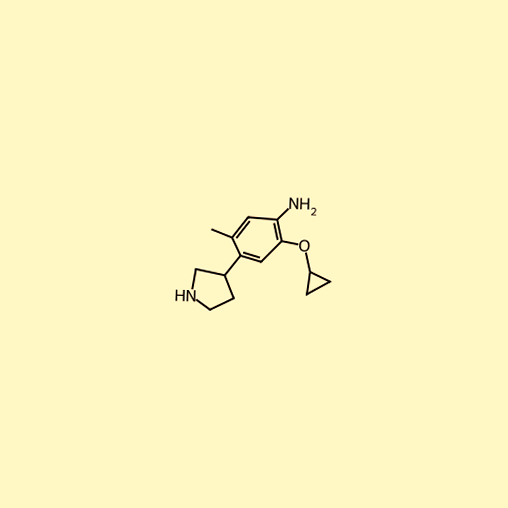 Cc1cc(N)c(OC2CC2)cc1C1CCNC1